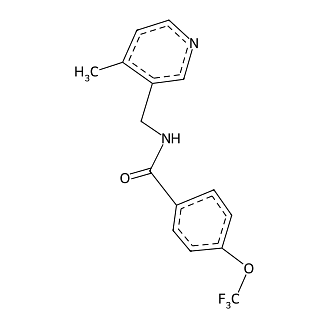 Cc1ccncc1CNC(=O)c1ccc(OC(F)(F)F)cc1